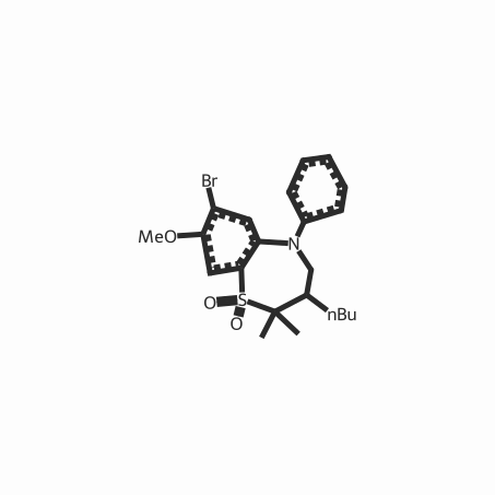 CCCCC1CN(c2ccccc2)c2cc(Br)c(OC)cc2S(=O)(=O)C1(C)C